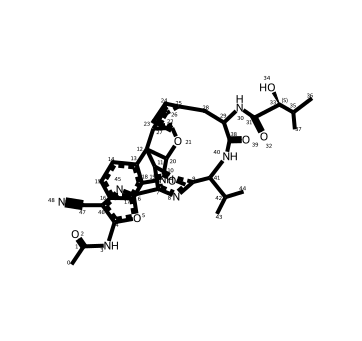 CC(=O)Nc1oc(-c2nc3oc2C24c5ccccc5NC2Oc2ccc(cc24)CC(NC(=O)[C@@H](O)C(C)C)C(=O)NC3C(C)C)nc1C#N